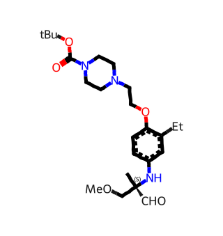 CCc1cc(N[C@](C)(C=O)COC)ccc1OCCN1CCN(C(=O)OC(C)(C)C)CC1